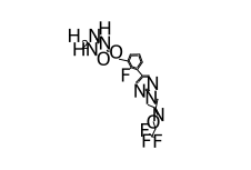 N=C(N)NC(=O)OCc1cccc(-c2cnc(N3CC(=NOCC(F)(F)F)C3)nc2)c1F